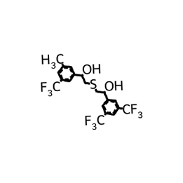 Cc1cc(C(O)CSCC(O)c2cc(C(F)(F)F)cc(C(F)(F)F)c2)cc(C(F)(F)F)c1